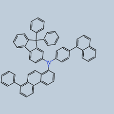 c1ccc(-c2cccc3c2ccc2c(N(c4ccc(-c5cccc6ccccc56)cc4)c4ccc5c(c4)C(c4ccccc4)(c4ccccc4)c4ccccc4-5)cccc23)cc1